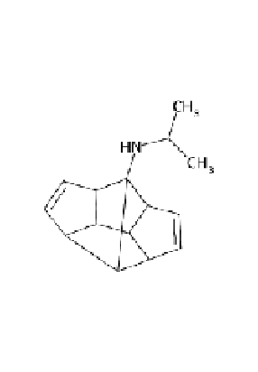 CC(C)NC12C3C=CC4C3C3C(C=CC31)C42